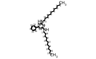 CCCCCCCCCCCCNc1nc(NCCCCCCCCCCCC)nc(-c2ccccc2)n1